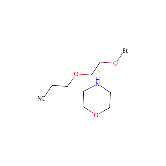 C1COCCN1.CCOCCOCCC#N